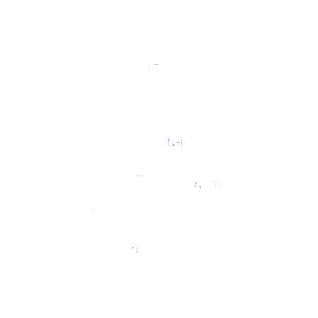 CC(=O)Nc1cc(C#N)c(F)cc1NCC1CCO1